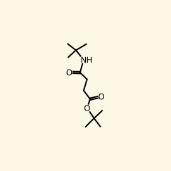 CC(C)(C)NC(=O)CCC(=O)OC(C)(C)C